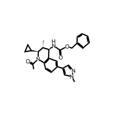 CC(=O)N1c2ccc(-c3cnn(C)c3)cc2[C@H](NC(=O)OCc2ccccc2)[C@@H](C)[C@@H]1C1CC1